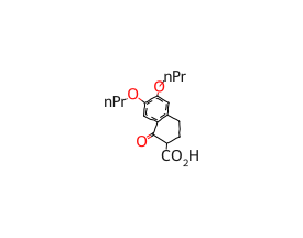 CCCOc1cc2c(cc1OCCC)C(=O)C(C(=O)O)CC2